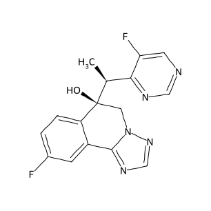 C[C@@H](c1ncncc1F)[C@]1(O)Cn2ncnc2-c2cc(F)ccc21